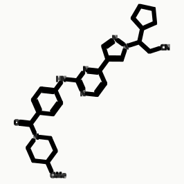 COC1CCN(C(=O)c2ccc(Nc3nccc(-c4cnn(C(CC#N)C5CCCC5)c4)n3)cc2)CC1